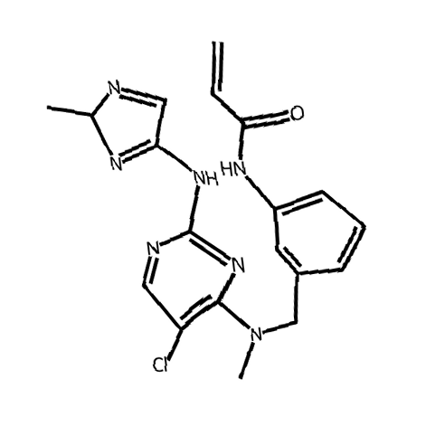 C=CC(=O)Nc1cccc(CN(C)c2nc(NC3=NC(C)N=C3)ncc2Cl)c1